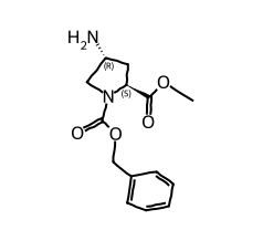 COC(=O)[C@@H]1C[C@@H](N)CN1C(=O)OCc1ccccc1